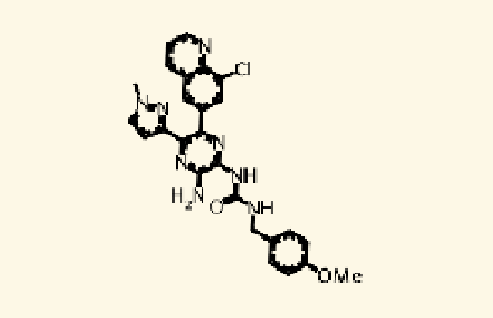 COc1ccc(CNC(=O)Nc2nc(-c3cc(Cl)c4ncccc4c3)c(-c3ccn(C)n3)nc2N)cc1